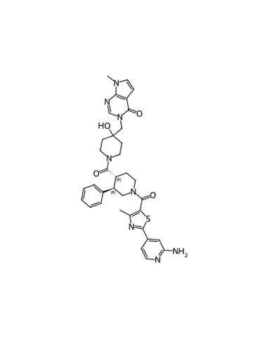 Cc1nc(-c2ccnc(N)c2)sc1C(=O)N1CC[C@@H](C(=O)N2CCC(O)(Cn3cnc4c(ccn4C)c3=O)CC2)[C@H](c2ccccc2)C1